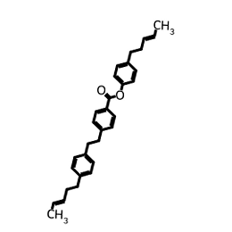 C/C=C/CCc1ccc(CCc2ccc(C(=O)Oc3ccc(CC/C=C/C)cc3)cc2)cc1